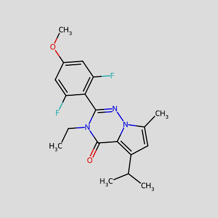 CCn1c(-c2c(F)cc(OC)cc2F)nn2c(C)cc(C(C)C)c2c1=O